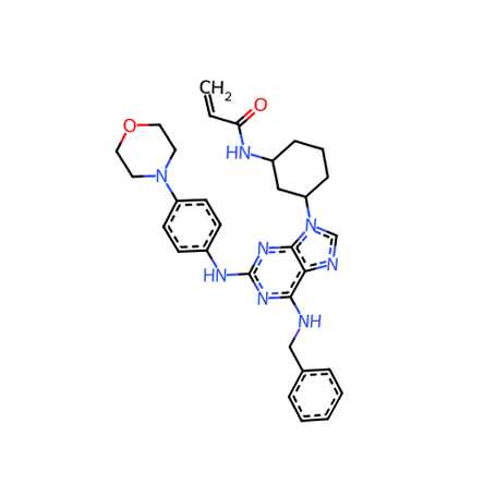 C=CC(=O)NC1CCCC(n2cnc3c(NCc4ccccc4)nc(Nc4ccc(N5CCOCC5)cc4)nc32)C1